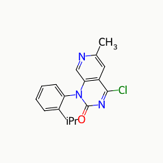 Cc1cc2c(Cl)nc(=O)n(-c3ccccc3C(C)C)c2cn1